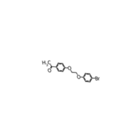 CC(=O)c1ccc(OCCOc2ccc(Br)cc2)cc1